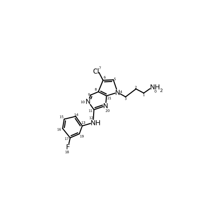 NCCCn1cc(Cl)c2cnc(Nc3cccc(F)c3)nc21